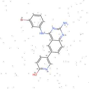 Nc1nc(Nc2cccc(Br)c2)c2cc(-c3ccc(O)nc3)ccc2n1